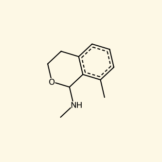 CNC1OCCc2cccc(C)c21